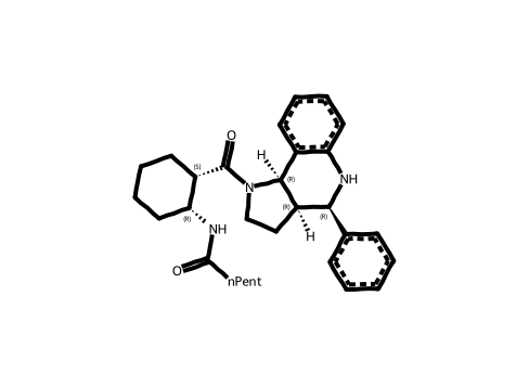 CCCCCC(=O)N[C@@H]1CCCC[C@@H]1C(=O)N1CC[C@@H]2[C@H](c3ccccc3)Nc3ccccc3[C@@H]21